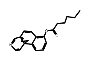 CCCCCC(=O)Oc1cccc2c1C=CC13C=NC=CC21CCC3